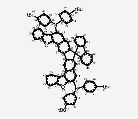 CC(C)(C)c1ccc(N(c2ccc(C(C)(C)C)cc2)c2cc3cc4c(cc3c3c2oc2ccccc23)-c2cc3c(cc2C42c4ccccc4-c4ccccc42)cc(N(c2ccc(C(C)(C)C)cc2)c2ccc(C(C)(C)C)cc2)c2c4ccccc4oc32)cc1